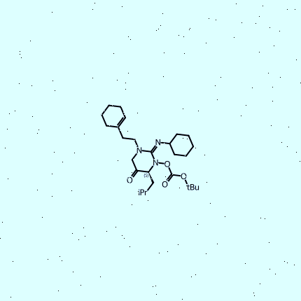 CC(C)C[C@H]1C(=O)CN(CCC2=CCCCC2)C(=NC2CCCCC2)N1OC(=O)OC(C)(C)C